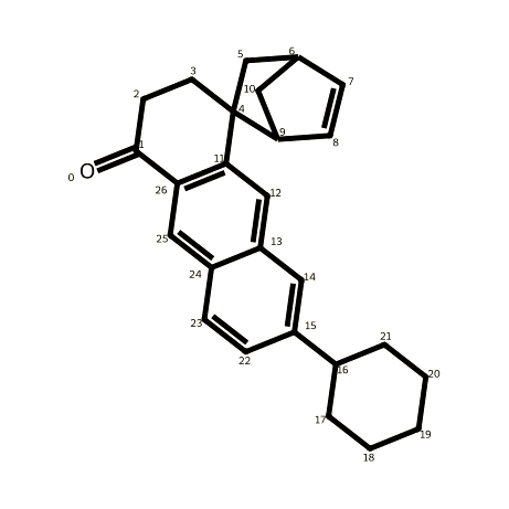 O=C1CCC2(CC3C=CC2C3)c2cc3cc(C4CCCCC4)ccc3cc21